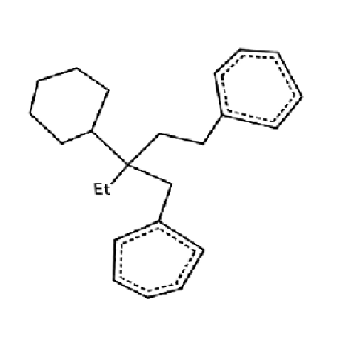 [CH2]CC(CCc1ccccc1)(Cc1ccccc1)C1CCCCC1